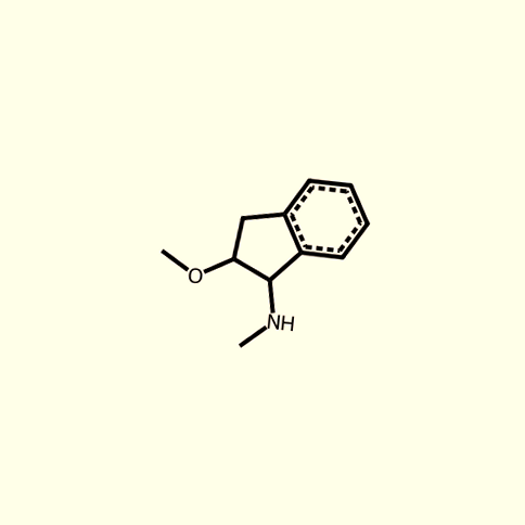 CNC1c2ccccc2CC1OC